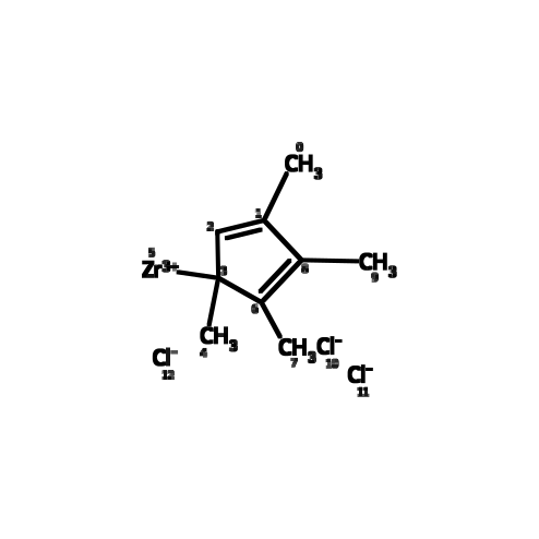 CC1=C[C](C)([Zr+3])C(C)=C1C.[Cl-].[Cl-].[Cl-]